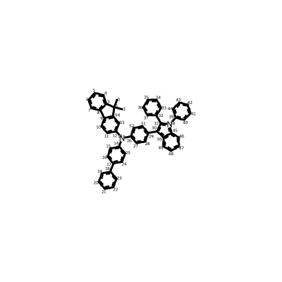 CC1(C)c2ccccc2-c2ccc(N(c3ccc(-c4ccccc4)cc3)c3ccc(-c4c(-c5ccccc5)n(-c5ccccc5)c5ccccc45)cc3)cc21